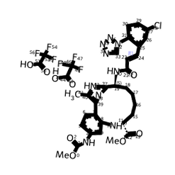 COC(=O)Nc1ccc2c(c1)N[C@@H](C(=O)OC)CCCC[C@H](NC(=O)/C=C/c1cc(Cl)ccc1-n1cnnn1)c1nc-2c(C)[nH]1.O=C(O)C(F)(F)F.O=C(O)C(F)(F)F